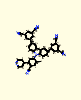 Cc1cc(C#N)c(-c2ccncc2)cc1-n1c2ccc(-c3cc(C#N)cc(C#N)c3)cc2c2cc(-c3cc(C#N)cc(C#N)c3)ccc21